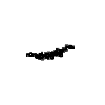 CCCCCCCCOc1ccc(-c2ccc(C(=O)Oc3ccc(C(=O)OCCCCC(C)CC)c(F)c3)cc2)cc1